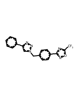 FC(F)(F)c1nc(-c2ccc(Cn3cc(-c4ccccc4)nn3)cc2)no1